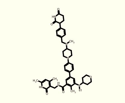 CCN(c1cc(-c2ccc(N3CCC(N(C)Cc4ccc(C5CCC(=O)NC5=O)cc4)CC3)cc2)cc(C(=O)NCc2c(C)cc(C)[nH]c2=O)c1C)C1CCOCC1